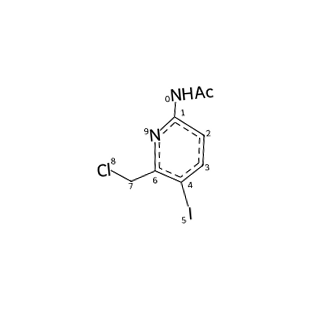 CC(=O)Nc1ccc(I)c(CCl)n1